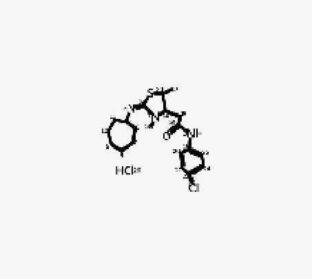 CC1SC(=NC2CCCCCC2)N(C)C1CC(=O)Nc1ccc(Cl)cc1.Cl